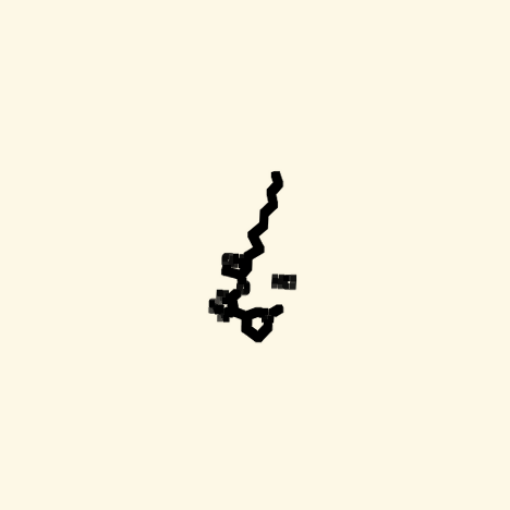 CCCCCCCCCCC(CO)Oc1nsnc1C1=CCCN(C)C1.Cl